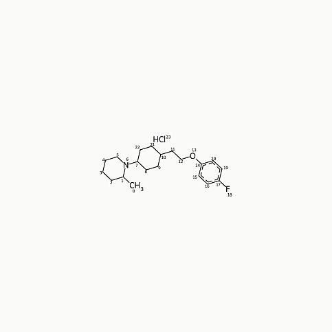 CC1CCCCN1C1CCC(CCOc2ccc(F)cc2)CC1.Cl